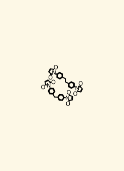 O=C1C=CC(=O)N1c1ccc(CCc2ccc(N3C(=O)C=CC3=O)cc2)cc1.O=C1C=CC(=O)N1c1ccc(Cc2ccc(N3C(=O)C=CC3=O)cc2)cc1